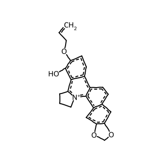 C=CCOc1ccc2c(c1O)c1[n+](c3c4cc5c(cc4ccc23)OCO5)CCC1